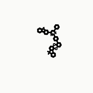 CC1(C)c2ccccc2-c2c1ccc1c2Oc2cccc(-c3ccc(-c4nc(-c5ccccc5)cc(-c5ccc6c(c5)sc5ccccc56)n4)cc3)c2O1